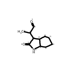 CC(C=O)C1C(=O)NC2CCCCC21